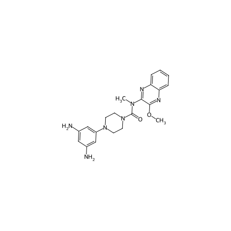 COc1nc2ccccc2nc1N(C)C(=O)N1CCN(c2cc(N)cc(N)c2)CC1